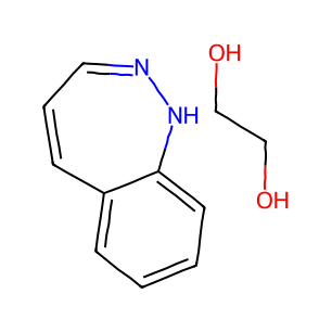 C1=Cc2ccccc2NN=C1.OCCO